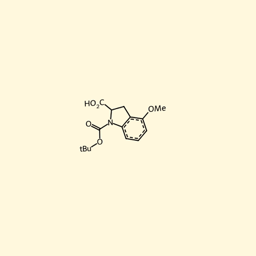 COc1cccc2c1CC(C(=O)O)N2C(=O)OC(C)(C)C